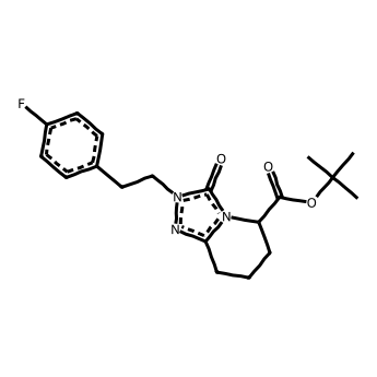 CC(C)(C)OC(=O)C1CCCc2nn(CCc3ccc(F)cc3)c(=O)n21